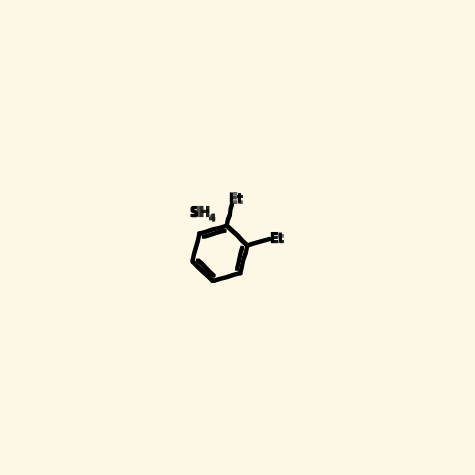 CCc1ccccc1CC.[SiH4]